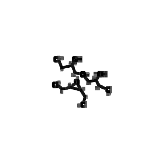 ClCC1OC1CCl.OC(CCl)COCC(O)CCl